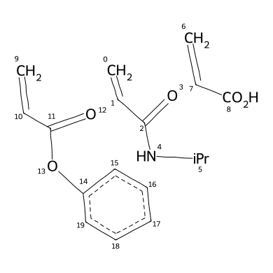 C=CC(=O)NC(C)C.C=CC(=O)O.C=CC(=O)Oc1ccccc1